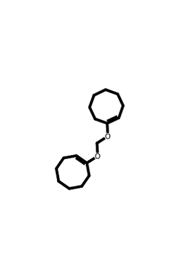 C1=C(OCOC2=CCCCCCC2)CCCCCC1